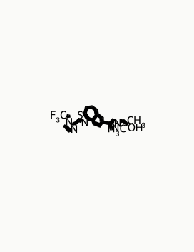 CC(C)(O)Cn1cc(C2=CC3=CCCc4sc(-c5nccn5CC(F)(F)F)nc4C3C=C2)cn1